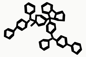 CC1(N(c2ccccc2)c2ccc(-c3ccccc3)cc2)C=CC(C2(c3ccc(N(c4ccccc4)c4ccc(-c5ccccc5)cc4)cc3)c3ccccc3-c3ccccc32)=CC1